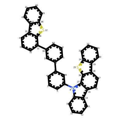 c1cc(-c2cccc(-n3c4ccccc4c4ccc5c6ccccc6sc5c43)c2)cc(-c2cccc3c2sc2ccccc23)c1